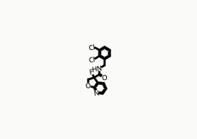 O=C(NCc1cccc(Cl)c1Cl)C1(F)COc2ncccc21